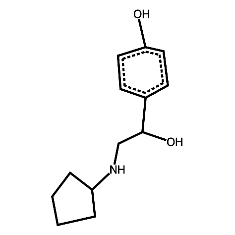 Oc1ccc(C(O)CNC2CCCC2)cc1